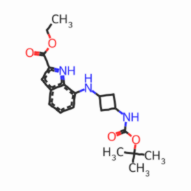 CCOC(=O)c1cc2cccc(NC3CC(NC(=O)OC(C)(C)C)C3)c2[nH]1